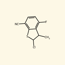 CC1c2c(F)ccc(C#N)c2SC1Cl